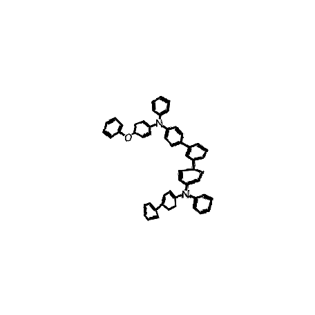 C1=CC(c2cccc(-c3ccc(N(C4=CCC(Oc5ccccc5)C=C4)c4ccccc4)cc3)c2)CC=C1N(C1=CC=C(c2ccccc2)CC1)c1ccccc1